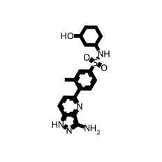 Cc1cc(S(=O)(=O)NC2CCCC(O)C2)ccc1-c1ccc2[nH]nc(N)c2n1